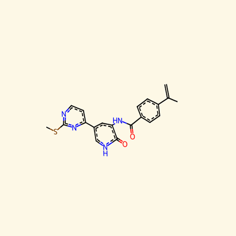 C=C(C)c1ccc(C(=O)Nc2cc(-c3ccnc(SC)n3)c[nH]c2=O)cc1